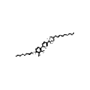 CCCCCCCCCC1COC(c2ccc(-c3ccc(OCCCCCCCC)c(F)c3F)nc2)OC1